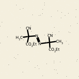 CCOC(=O)C(C)(C#N)N=NC(C)(C#N)C(=O)OCC